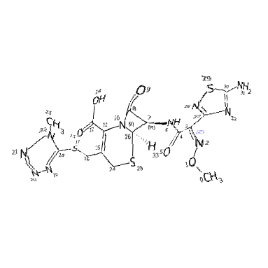 CO/N=C(\C(=O)N[C@@H]1C(=O)N2C(C(=O)O)=C(CSc3nnnn3C)CS[C@H]12)c1nsc(N)n1